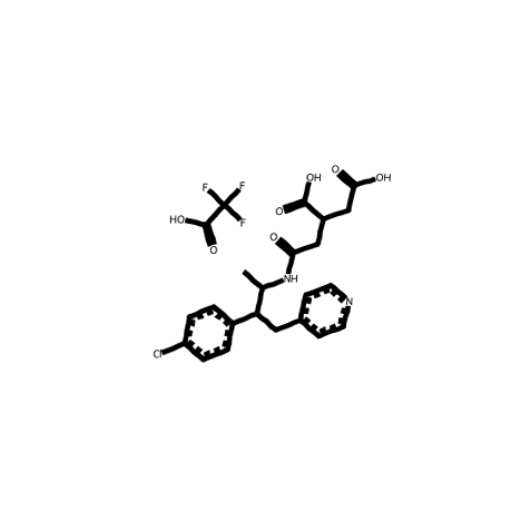 CC(NC(=O)CC(CC(=O)O)C(=O)O)C(Cc1ccncc1)c1ccc(Cl)cc1.O=C(O)C(F)(F)F